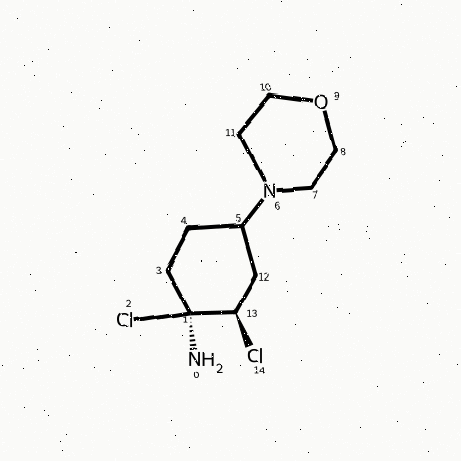 N[C@]1(Cl)CCC(N2CCOCC2)C[C@H]1Cl